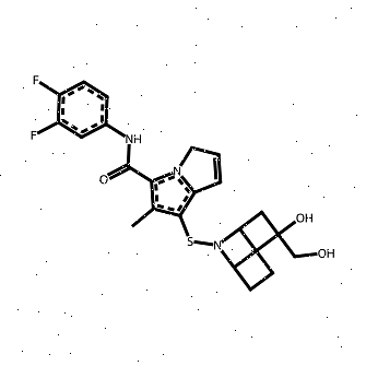 Cc1c(SN2C3CCC34C2CC4(O)CO)c2n(c1C(=O)Nc1ccc(F)c(F)c1)CC=C2